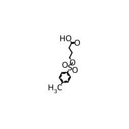 Cc1ccc(S(=O)(=O)OCCCC(=O)O)cc1